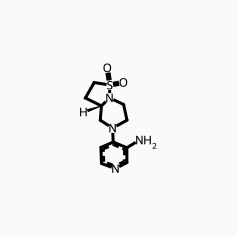 Nc1cnccc1N1CCN2[C@@H](CCS2(=O)=O)C1